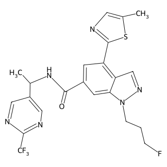 Cc1cnc(-c2cc(C(=O)NC(C)c3cnc(C(F)(F)F)nc3)cc3c2cnn3CCCF)s1